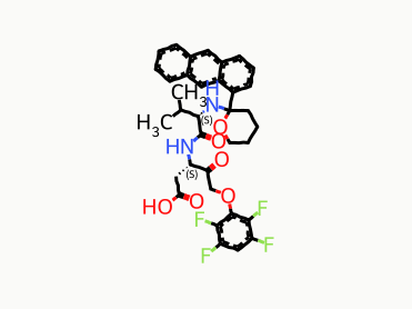 CC(C)[C@H](NC1(c2cccc3cc4ccccc4cc23)CCCCO1)C(=O)N[C@@H](CC(=O)O)C(=O)COc1c(F)c(F)cc(F)c1F